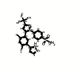 Cc1cc(F)c(-c2ccn[nH]2)cc1-c1cc(C(F)(F)F)nn1-c1ccc(S(N)(=O)=O)cc1